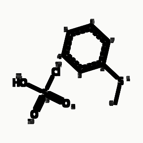 CSc1ccccc1.O=S(=O)(O)Cl